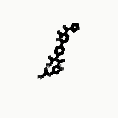 CC(=O)OC1CN[C@H](C(=O)N(C(C)=O)c2ccc(-c3ccc(C(=O)n4ccnc4)c(=O)[nH]3)cc2)C1